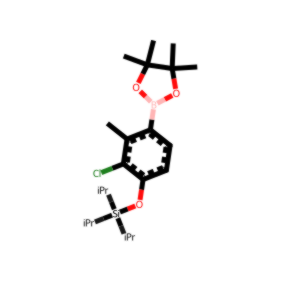 Cc1c(B2OC(C)(C)C(C)(C)O2)ccc(O[Si](C(C)C)(C(C)C)C(C)C)c1Cl